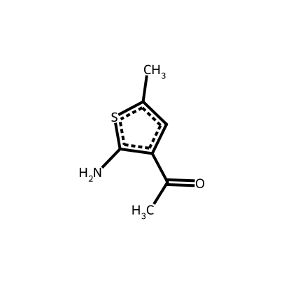 CC(=O)c1cc(C)sc1N